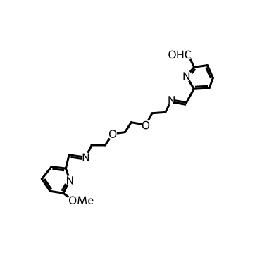 COc1cccc(C=NCCOCCOCCN=Cc2cccc(C=O)n2)n1